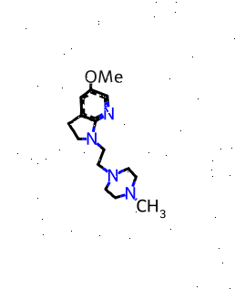 COc1cnc2c(c1)CCN2CCN1CCN(C)CC1